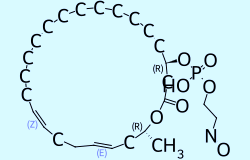 C[C@@H]1C/C=C/CC/C=C\CCCCCCCCCCCC[C@@H](OP(=O)(O)OCCN=O)CC(=O)O1